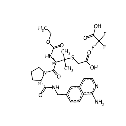 CCOC(=O)N[C@H](C(=O)N1CCC[C@H]1C(=O)NCc1ccc2c(N)nccc2c1)C(C)(C)SCC(=O)O.O=C(O)C(F)(F)F